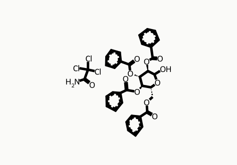 NC(=O)C(Cl)(Cl)Cl.O=C(OC[C@H]1OC(O)[C@H](OC(=O)c2ccccc2)[C@@H](OC(=O)c2ccccc2)[C@@H]1OC(=O)c1ccccc1)c1ccccc1